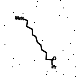 CNCCCCCCCCCCC(=O)C(C)C